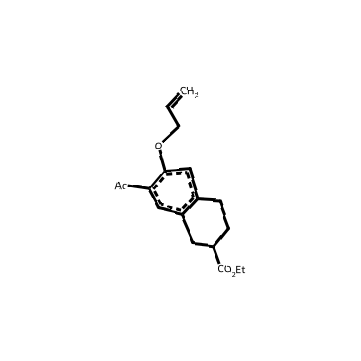 C=CCOc1cc2c(cc1C(C)=O)CC(C(=O)OCC)CC2